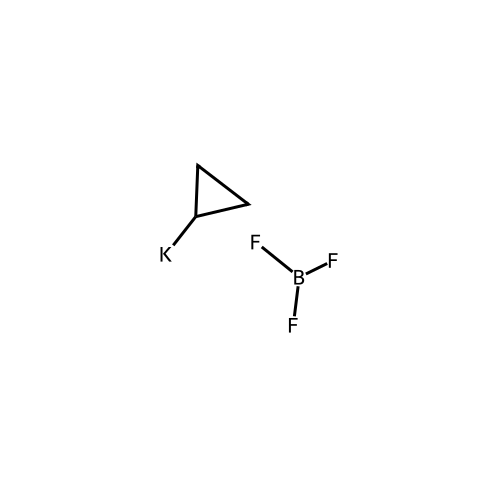 FB(F)F.[K][CH]1CC1